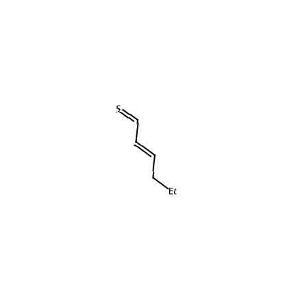 CCCC=CC=S